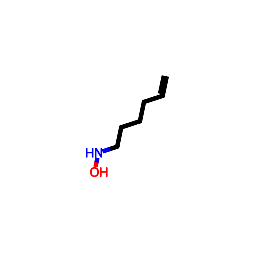 C=CCCCCNO